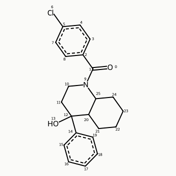 O=C(c1ccc(Cl)cc1)N1CCC(O)(c2ccccc2)C2CCCCC21